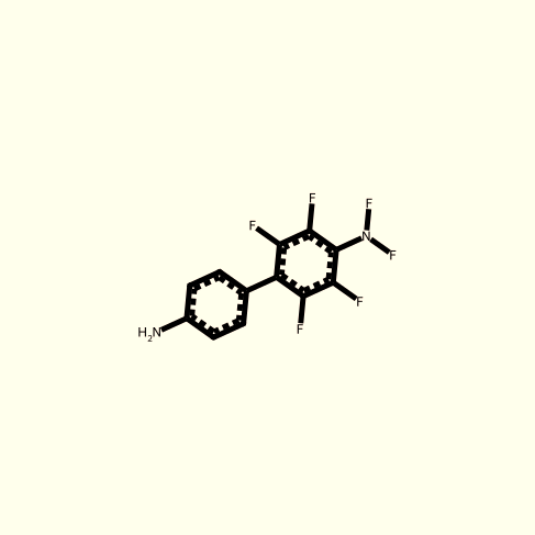 Nc1ccc(-c2c(F)c(F)c(N(F)F)c(F)c2F)cc1